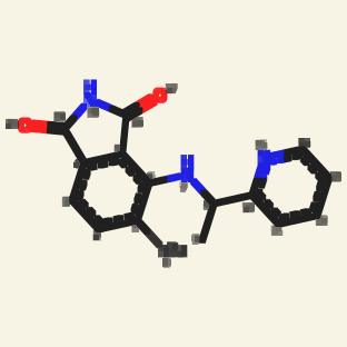 CCCCc1ccc2c(c1NC(C)c1ccccn1)C(=O)NC2=O